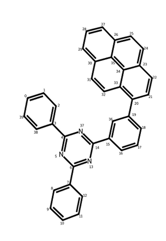 c1ccc(-c2nc(-c3ccccc3)nc(-c3cccc(-c4ccc5ccc6cccc7ccc4c5c67)c3)n2)cc1